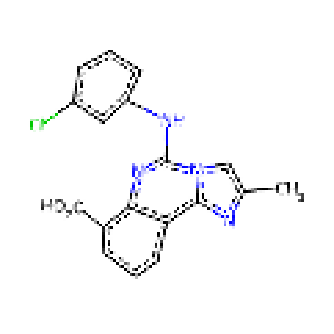 Cc1cn2c(Nc3cccc(Cl)c3)nc3c(C(=O)O)cccc3c2n1